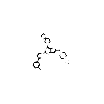 Cc1cccc(-c2ccn(-c3nc(N4CCC5(C4)OCCO5)c4sc(CN5CCN(S(C)(=O)=O)CC5)cc4n3)n2)c1